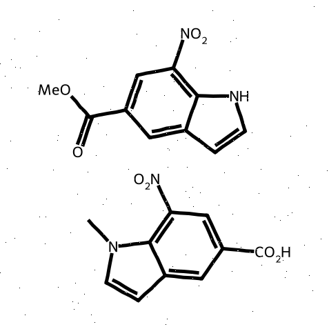 COC(=O)c1cc([N+](=O)[O-])c2[nH]ccc2c1.Cn1ccc2cc(C(=O)O)cc([N+](=O)[O-])c21